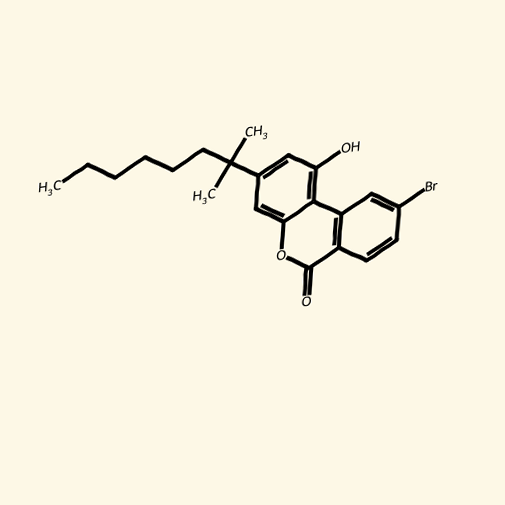 CCCCCCC(C)(C)c1cc(O)c2c(c1)oc(=O)c1ccc(Br)cc12